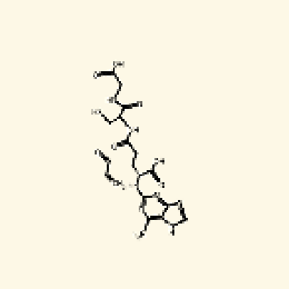 C=CC=O.Nc1nc(N[C@@H](CCC(=O)N[C@@H](CS)C(=O)NCC(=O)O)C(=O)O)nc2nc[nH]c12